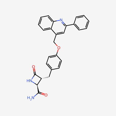 NC(=O)[C@H]1NC(=O)[C@@H]1Cc1ccc(OCc2cc(-c3ccccc3)nc3ccccc23)cc1